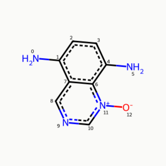 Nc1ccc(N)c2c1cnc[n+]2[O-]